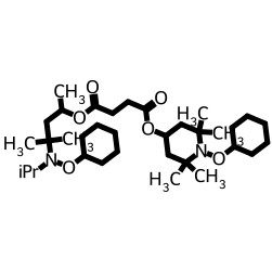 CC(CC(C)(C)N(OC1CCCCC1)C(C)C)OC(=O)CCC(=O)OC1CC(C)(C)N(OC2CCCCC2)C(C)(C)C1